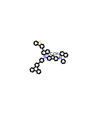 CC1(C)c2cc(N(c3ccccc3)c3cccc4ccccc34)ccc2-c2ccc(N(c3ccc(-c4ccc5c6ccccc6c6ccccc6c5c4)cc3)c3ccc(-c4ccc5sc6ccccc6c5c4)c4ccccc34)cc21